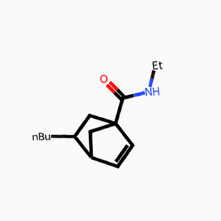 CCCCC1CC2(C(=O)NCC)C=CC1C2